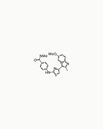 CNC(=O)c1ccc(Nc2nc(-c3c(C)nc4ccc(OC)cn34)cs2)cc1